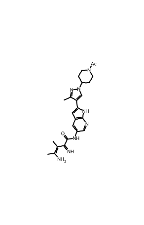 CC(=O)N1CCC(n2cc(-c3cc4cc(NC(=O)C(=N)/C(C)=C(/C)N)cnc4[nH]3)c(C)n2)CC1